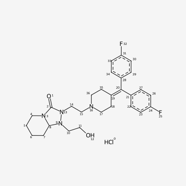 Cl.O=C1N2CCCCC2N(CCO)N1CCN1CCC(=C(c2ccc(F)cc2)c2ccc(F)cc2)CC1